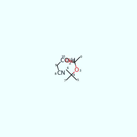 CC(=O)OC(C)(C)C.N#CCC(=O)O